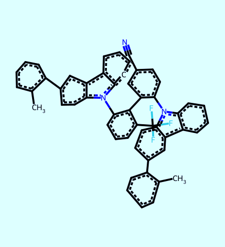 Cc1ccccc1-c1ccc2c(c1)c1ccccc1n2-c1ccc(C#N)cc1-c1c(-n2c3ccccc3c3cc(-c4ccccc4C)ccc32)cccc1C(F)(F)F